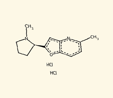 Cc1ccc2oc([C@H]3CCCN3C)cc2n1.Cl.Cl